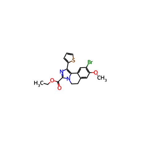 CCOC(=O)c1nc(-c2cccs2)c2n1CCc1cc(OC)c(Br)cc1-2